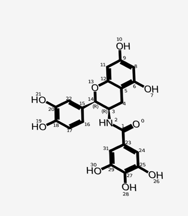 O=C(N[C@@H]1Cc2c(O)cc(O)cc2O[C@@H]1c1ccc(O)c(O)c1)c1cc(O)c(O)c(O)c1